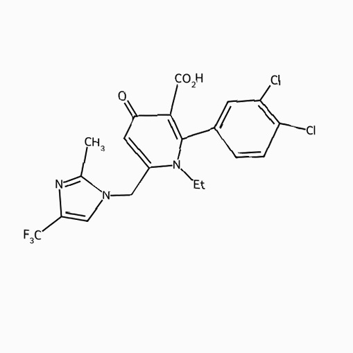 CCn1c(Cn2cc(C(F)(F)F)nc2C)cc(=O)c(C(=O)O)c1-c1ccc(Cl)c(Cl)c1